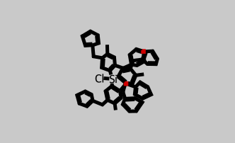 Cc1cc(Cc2ccccc2)c([Si](Cl)(c2cc(Cc3ccccc3)c(C)cc2Cc2ccccc2)c2cc(Cc3ccccc3)c(C)cc2Cc2ccccc2)cc1Cc1ccccc1